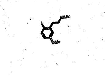 COc1ccc(I)c(CCNC(C)=O)c1